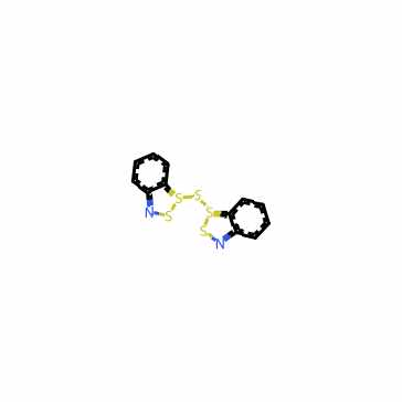 c1ccc2c(c1)=NSS=2SS1=c2ccccc2=NS1